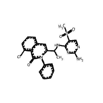 CC(Nc1nc(N)ncc1S(C)(=O)=O)c1cc2cccc(Cl)c2c(=O)n1-c1ccccc1